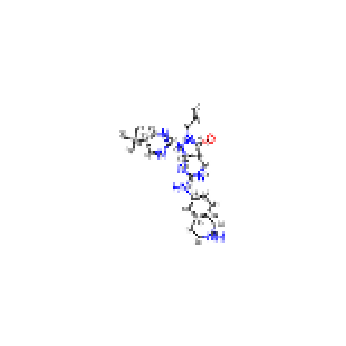 C=CCn1c(=O)c2cnc(Nc3ccc4c(c3)CCNC4)nc2n1-c1ncc(C(C)(C)C)cn1